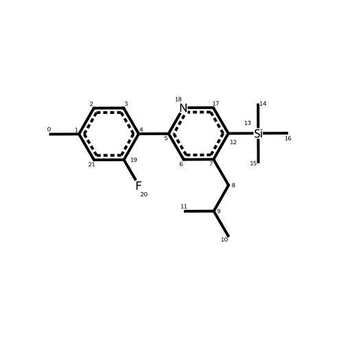 Cc1ccc(-c2cc(CC(C)C)c([Si](C)(C)C)cn2)c(F)c1